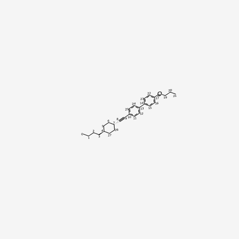 CCCC[C@H]1CC[C@H](C#Cc2ccc(-c3ccc(OCCC)cc3)cc2)CC1